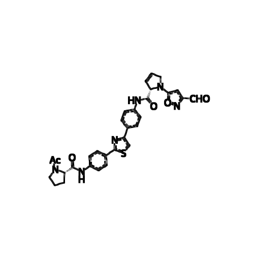 CC(=O)N1CCC[C@H]1C(=O)Nc1ccc(-c2nc(-c3ccc(NC(=O)[C@@H]4C=CCN4c4cc(C=O)no4)cc3)cs2)cc1